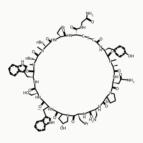 CCCC[C@H]1C(=O)N(C)[C@@H](CCCC)C(=O)N[C@@H](CC(C)C)C(=O)N[C@H](C(=O)NCC(N)=O)CSCC(=O)N[C@@H](Cc2ccc(O)cc2)C(=O)N(C)[C@@H](C)C(=O)N[C@@H](CC(N)=O)C(=O)N2CCC[C@H]2C(=O)N[C@@H](CN)C(=O)N[C@@H](CC(C)C)C(=O)N2C[C@H](O)CC2C(=O)N[C@@H]([C@@H](C)c2c[nH]c3ccccc23)C(=O)N[C@@H](CO)C(=O)N[C@@H](Cc2c[nH]c3ccccc23)C(=O)N1C